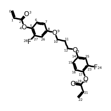 C=CC(=O)Oc1ccc(OCCCOc2ccc(OC(=O)C=C)c(F)c2)cc1F